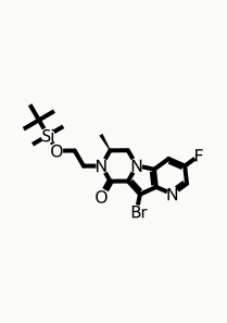 C[C@H]1Cn2c(c(Br)c3ncc(F)cc32)C(=O)N1CCO[Si](C)(C)C(C)(C)C